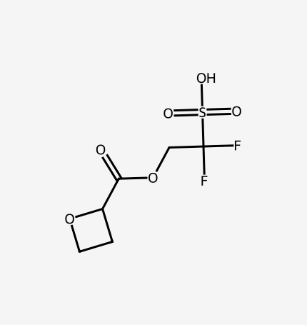 O=C(OCC(F)(F)S(=O)(=O)O)C1CCO1